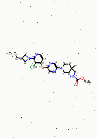 CC1(CNC(=O)OC(C)(C)C)CCN(c2cnc(Sc3ccnc(N4CC(CC(=O)O)C4)c3Cl)cn2)CC1